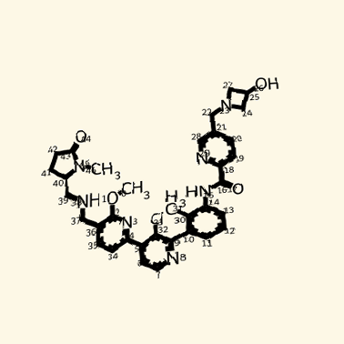 COc1nc(-c2ccnc(-c3cccc(NC(=O)c4ccc(CN5CC(O)C5)cn4)c3C)c2Cl)ccc1CNC[C@H]1CCC(=O)N1C